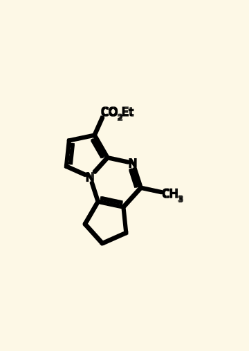 CCOC(=O)c1ccn2c3c(c(C)nc12)CCC3